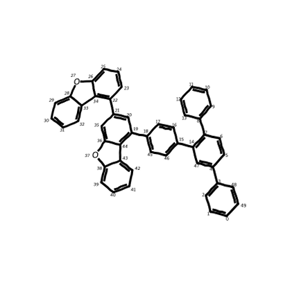 c1ccc(-c2ccc(-c3ccccc3)c(-c3ccc(-c4cc(-c5cccc6oc7ccccc7c56)cc5oc6ccccc6c45)cc3)c2)cc1